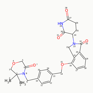 BC1(B)COCC(=O)N1Cc1ccc(COc2cccc3c2CN(C2CCC(=O)NC2=O)C3=O)cc1